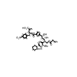 CC[C@H](C)[C@H](NC(=O)[C@H]1CCCCN1)C(=O)N(COC(=O)CC(C)C)[C@H](C[C@@H](O)c1nc(C(=O)N[C@@H](Cc2ccc([N+](=O)[O-])cc2)CC(C)C(=O)O)cs1)C(C)C